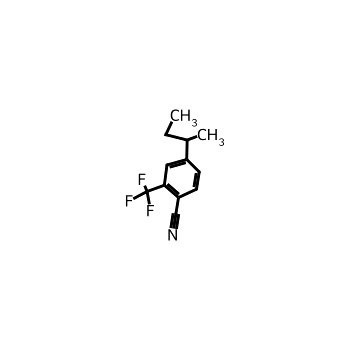 CCC(C)c1ccc(C#N)c(C(F)(F)F)c1